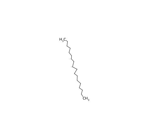 CCCCCC[CH]C[CH]CCCCCCCCC